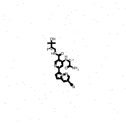 C[C@@H](Nc1cc(-c2ccc3cc(C#N)cnn23)ncc1C(=O)NC[C@@H](F)C(C)(C)O)C(N)=O